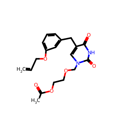 C=CCOc1cccc(Cc2cn(COCCOC(C)=O)c(=O)[nH]c2=O)c1